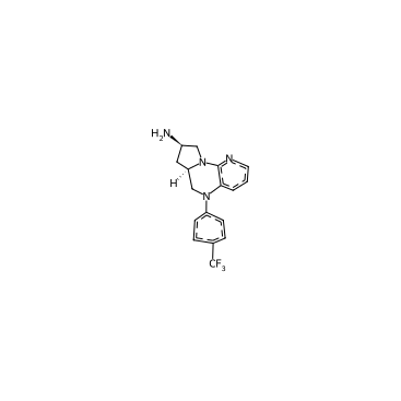 N[C@@H]1C[C@@H]2CN(c3ccc(C(F)(F)F)cc3)c3cccnc3N2C1